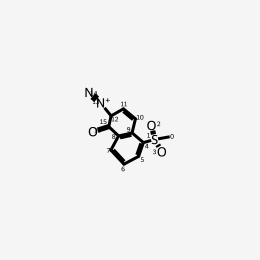 CS(=O)(=O)c1cccc2c1C=CC([N+]#N)C2=O